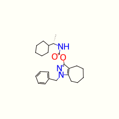 C[C@H](NC(=O)Oc1nn(Cc2ccccc2)c2c1CCCCC2)C1CCCCC1